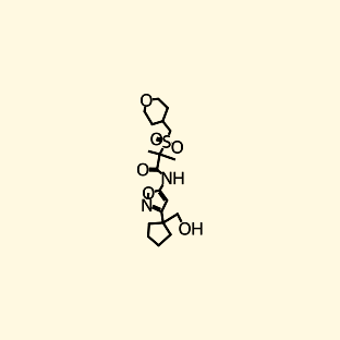 CC(C)(C(=O)Nc1cc(C2(CO)CCCC2)no1)S(=O)(=O)CC1CCOCC1